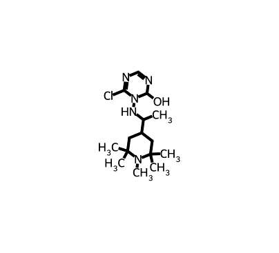 CC(NN1C(Cl)=NC=NC1O)C1CC(C)(C)N(C)C(C)(C)C1